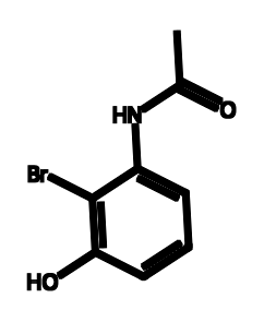 CC(=O)Nc1cccc(O)c1Br